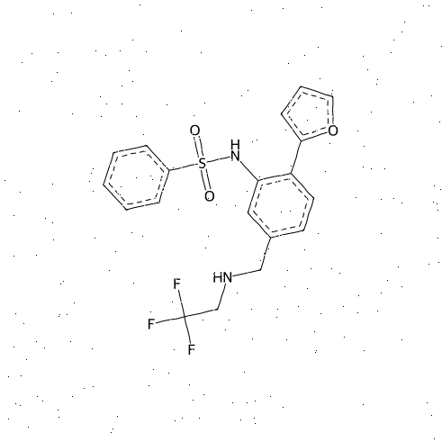 O=S(=O)(Nc1cc(CNCC(F)(F)F)ccc1-c1ccco1)c1ccccc1